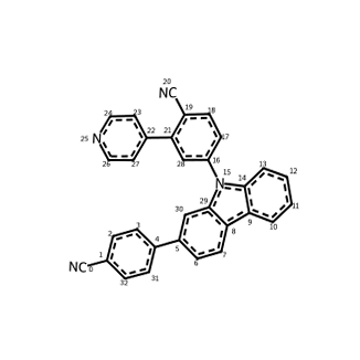 N#Cc1ccc(-c2ccc3c4ccccc4n(-c4ccc(C#N)c(-c5ccncc5)c4)c3c2)cc1